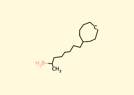 BC(C)CCCCCCC1CCCCCCCC1